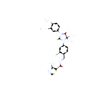 Cc1ncsc1C(=O)NCc1ccc(N2C(=S)N(c3ccc(C#N)c(C(F)(F)F)c3)C(=O)C2(C)C)cc1Cl